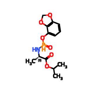 CC(C)OC(=O)[C@H](C)N[PH](=O)Oc1cccc2c1OCO2